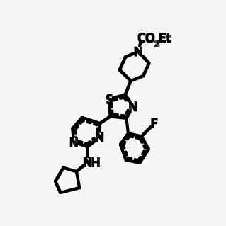 CCOC(=O)N1CCC(c2nc(-c3ccccc3F)c(-c3ccnc(NC4CCCC4)n3)s2)CC1